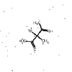 [2H]C(C)(C(C)=O)C(C)=O